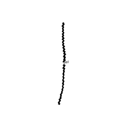 CCCCCCCCCCCCCCCCCCCCCCCCCCCC=CPC=CCCCCCCCCCCCCCCCCCCCCCCCCCCC